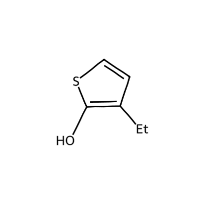 CCc1ccsc1O